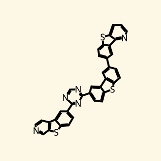 c1cnc2c(c1)sc1ccc(-c3ccc4sc5ccc(-c6ncnc(-c7ccc8sc9cnccc9c8c7)n6)cc5c4c3)cc12